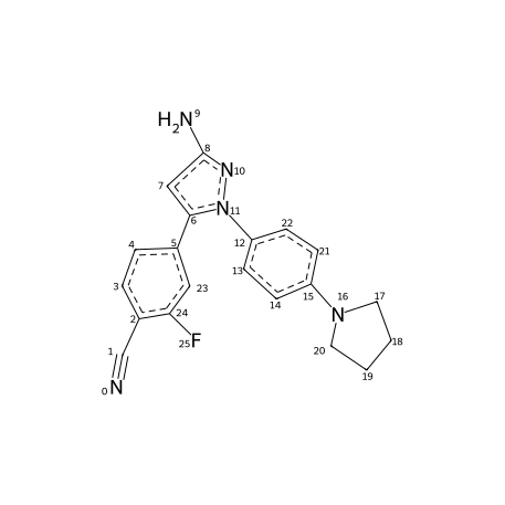 N#Cc1ccc(-c2cc(N)nn2-c2ccc(N3CCCC3)cc2)cc1F